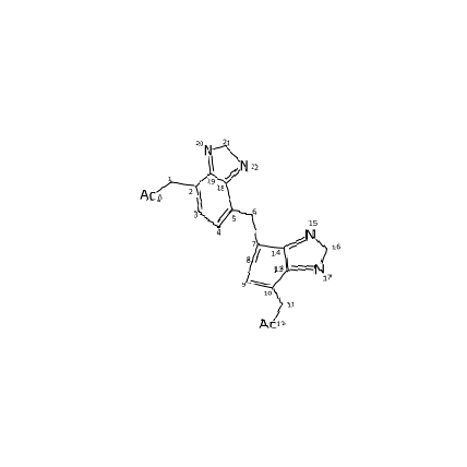 CC(=O)Cc1ccc(Cc2ccc(CC(C)=O)c3c2=NCN=3)c2c1=NCN=2